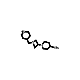 CC(C)(C)C1CCN(C2CN(CC3CCNCC3)C2)CC1